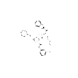 CS(=O)(=O)Nc1cccc(CC(=O)N2C[C@H](OCC3CCCCC3)C[C@H]2C(=O)N[C@@H](CCCCN)C(=O)c2nc3ccccc3o2)c1